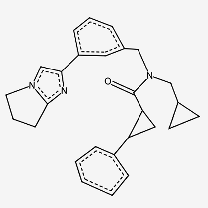 O=C(C1CC1c1ccccc1)N(Cc1cccc(-c2cn3c(n2)CCC3)c1)CC1CC1